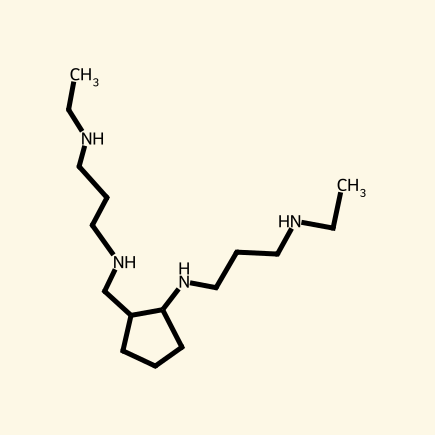 CCNCCCNCC1CCCC1NCCCNCC